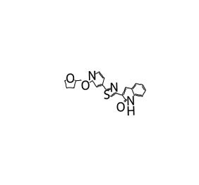 O=c1[nH]c2ccccc2cc1-c1csc(-c2ccnc(OCC3CCCO3)c2)n1